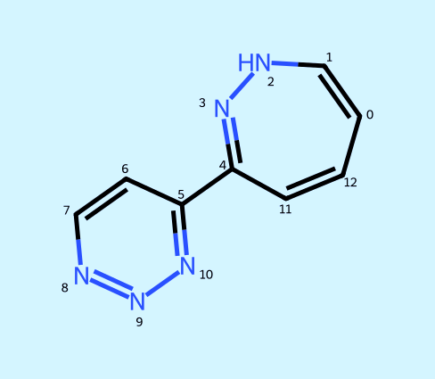 C1=CNN=C(c2ccnnn2)C=C1